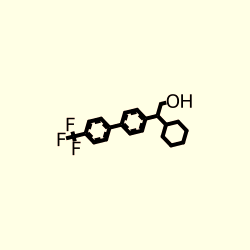 OCC(c1ccc(-c2ccc(C(F)(F)F)cc2)cc1)C1CCCCC1